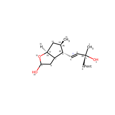 CCCCC[C@@](C)(O)/C=C/[C@@H]1C2CC(O)O[C@H]2C[C@H]1C